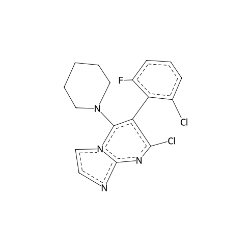 Fc1cccc(Cl)c1-c1c(Cl)nc2nccn2c1N1CCCCC1